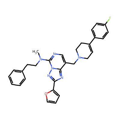 CN(CCc1ccccc1)c1ncc(CN2CC=C(c3ccc(F)cc3)CC2)c2nc(-c3ccco3)nn12